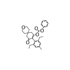 CCc1cc(C)cc(CC)c1C1=C(OC(=O)Oc2ccccc2)CC2(CCOCC2)CC1=O